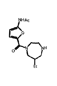 CCC1CNCCN(C(=O)c2ccc(NC(C)=O)o2)C1